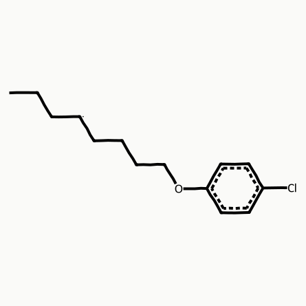 CCC[CH]CCCCOc1ccc(Cl)cc1